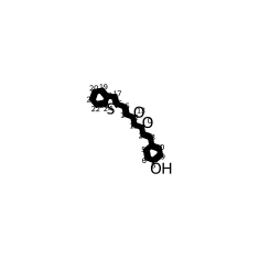 O=C(C=Cc1ccc(O)cc1)CC(=O)C=Cc1cc2ccccc2s1